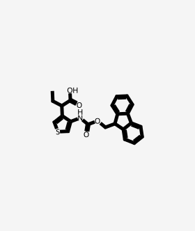 CCC(C(=O)O)c1cscc1NC(=O)OCC1c2ccccc2-c2ccccc21